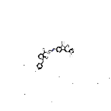 O=C1Nc2cc(/C=C/CNC(=O)c3cccn(Cc4ccncc4)c3=O)ccc2C1=Cc1cnc[nH]1